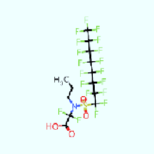 CCCN(C(F)(F)C(=O)O)S(=O)(=O)C(F)(F)C(F)(F)C(F)(F)C(F)(F)C(F)(F)C(F)(F)C(F)(F)C(F)(F)F